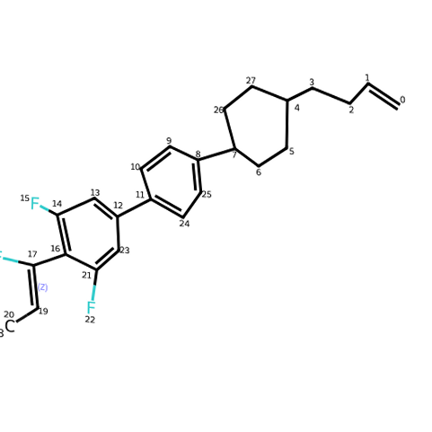 C=CCCC1CCC(c2ccc(-c3cc(F)c(/C(F)=C/C(F)(F)F)c(F)c3)cc2)CC1